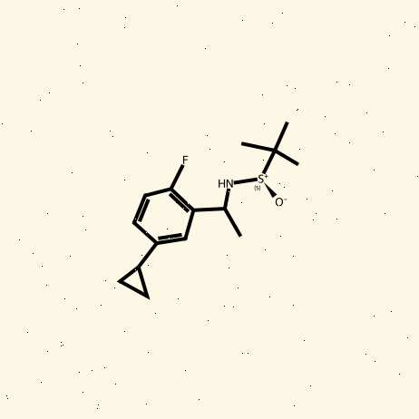 CC(N[S@+]([O-])C(C)(C)C)c1cc(C2CC2)ccc1F